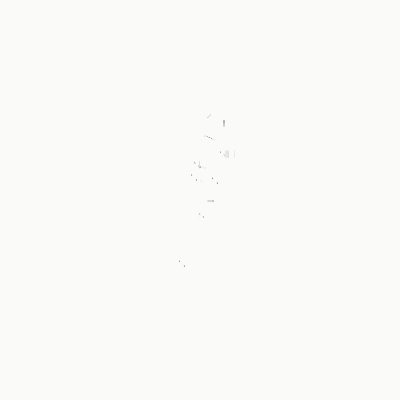 CN(C)CC1CCN(S(=O)(=O)c2nnc(Nc3c4c(cc5c3CCC5)CCC4)[nH]2)CC1